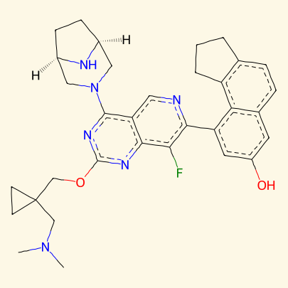 CN(C)CC1(COc2nc(N3C[C@H]4CC[C@@H](C3)N4)c3cnc(-c4cc(O)cc5ccc6c(c45)CCC6)c(F)c3n2)CC1